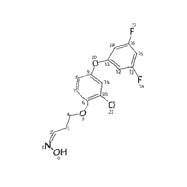 O/N=C\CCOc1ccc(Oc2cc(F)cc(F)c2)cc1Cl